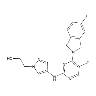 OCCn1cc(Nc2ncc(F)c(N3Cc4cc(F)ccc4S3)n2)cn1